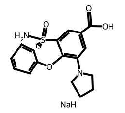 NS(=O)(=O)c1cc(C(=O)O)cc(N2CCCC2)c1Oc1ccccc1.[NaH]